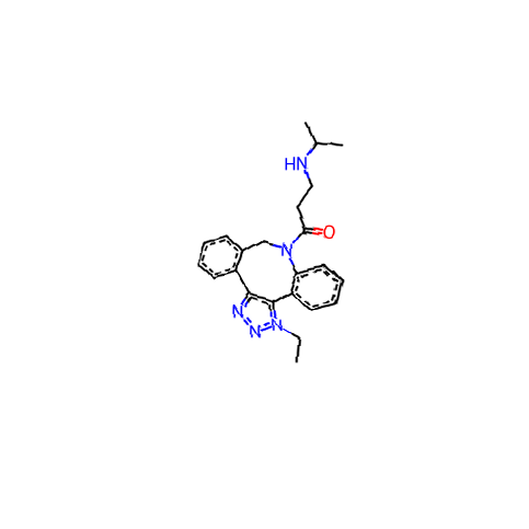 CCn1nnc2c1-c1ccccc1N(C(=O)CCNC(C)C)Cc1ccccc1-2